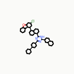 Clc1cc(-c2cccc3c(C4=NC(c5ccc(-c6ccccc6)cc5)=NC(c5ccc6ccccc6c5)N4)cccc23)c2c(c1)oc1ccccc12